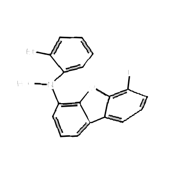 CCc1ccccc1N(C)c1cccc2c1oc1c(F)cccc12